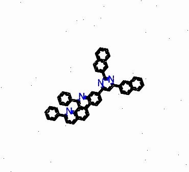 c1ccc(-c2ccc3ccc4c5ccc(-c6cc(-c7ccc8ccccc8c7)nc(-c7ccc8ccccc8c7)n6)cc5nc(-c5ccccc5)c4c3n2)cc1